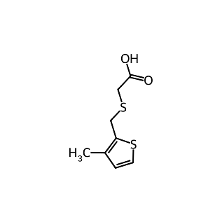 Cc1ccsc1CSCC(=O)O